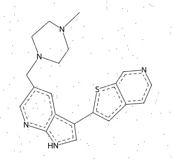 CN1CCN(Cc2cnc3[nH]cc(-c4cc5ccncc5s4)c3c2)CC1